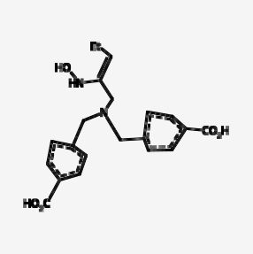 CCC=C(CN(Cc1ccc(C(=O)O)cc1)Cc1ccc(C(=O)O)cc1)NO